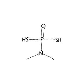 CN(C)P(=O)(S)S